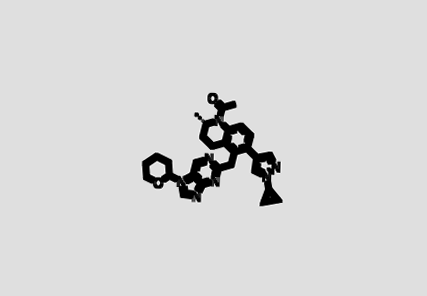 CC(=O)N1c2ccc(-c3cnn(C4CC4)c3)c(Cc3ncc4c(ncn4C4CCCCO4)n3)c2CC[C@@H]1C